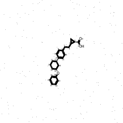 O=C(O)[C@@H]1CC1CCc1ccc([C@@H]2CCC[C@@H](Oc3ccccc3)C2)cc1